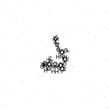 COc1cc(Nc2cc(Oc3ccc(NC(=O)Nc4cc(C(C)(C)C)cc(NS(C)(=O)=O)c4OC)c4ccccc34)ccn2)cc(OCCOCc2ccsc2)c1